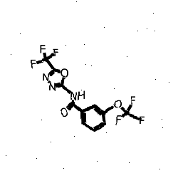 O=C(Nc1nnc(C(F)(F)F)o1)c1cccc(OC(F)(F)F)c1